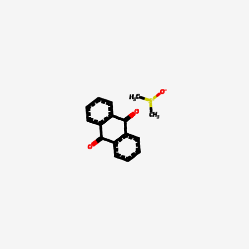 C[S+](C)[O-].O=C1c2ccccc2C(=O)c2ccccc21